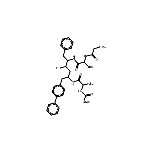 COCC(=O)NC(C(=O)NC(Cc1ccccc1)C(O)CC(Cc1ccc(-c2ccccn2)cc1)NC(=O)C(NC(=O)OC)C(C)(C)C)C(C)(C)C